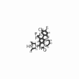 CC1CN(c2nc(=O)n3c4c(c(-c5cc(Cl)c(F)cc5F)c(C(F)(F)F)cc24)SCCC3)CC(C)N1